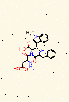 Cn1cc(CC(C(=O)O)N(C(=O)C(N)CC(=O)O)C(=O)C(N)Cc2ccccc2)c2ccccc21